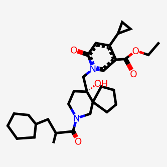 CCOC(=O)c1cn(C[C@]2(O)CCN(C(=O)C(C)CC3CCCCC3)CC23CCCC3)c(=O)cc1C1CC1